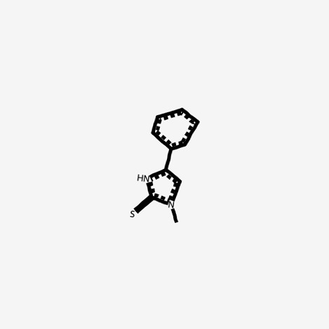 Cn1cc(-c2ccccc2)[nH]c1=S